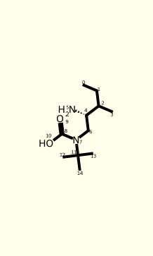 CCC(C)[C@@H](N)CN(C(=O)O)C(C)(C)C